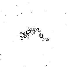 C=CC(=O)N1CCC(Nc2cc3c(Nc4ccc(Oc5ccn(-c6ccc(OC)cn6)n5)cc4F)ncnc3cc2OC)CC1